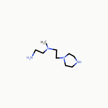 CN(CCN)CCN1CCNCC1